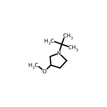 COC1CCN(C(C)(C)C)C1